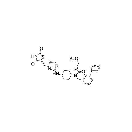 CC(=O)OCOC(=O)N(Cc1cccc(-c2ccsc2)n1)[C@H]1CC[C@H](Nc2nccc(/C=C3\SC(=O)NC3=O)n2)CC1